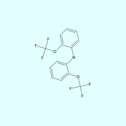 FC(F)(F)Oc1ccccc1[N]c1ccccc1OC(F)(F)F